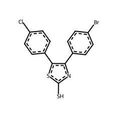 Sc1nc(-c2ccc(Br)cc2)c(-c2ccc(Cl)cc2)s1